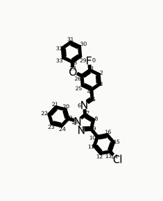 Fc1ccc(/C=N/c2cc(-c3ccc(Cl)cc3)nn2-c2ccccc2)cc1Oc1ccccc1